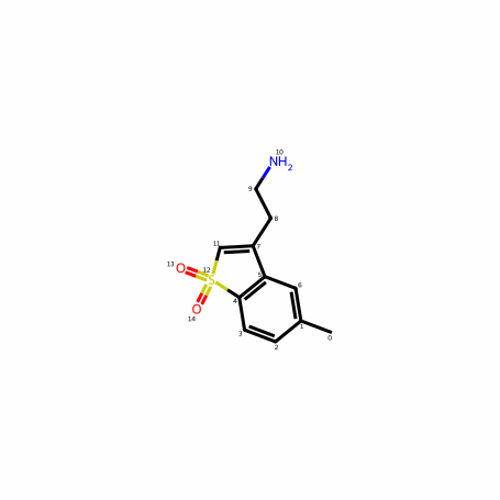 Cc1ccc2c(c1)C(CCN)=CS2(=O)=O